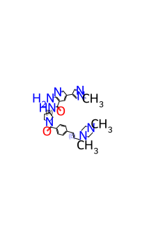 CC(/C=C/c1ccc(C(=O)N2CC[C@@H](NC(=O)c3cc(-c4cnn(C)c4)cnc3N)C2)cc1)N1CCN(C)CC1